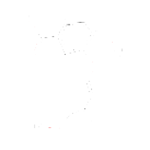 COCC(C)C=COc1cc(C(=O)O)ccc1OC